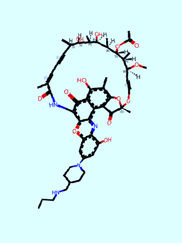 CCCNCC1CCN(c2cc(O)c3nc4c5c6c7c(C)c(O)c5c(=O)c(c-4oc3c2)NC(=O)/C(C)=C\C=C\[C@H](C)[C@H](O)[C@@H](C)[C@@H](O)[C@@H](C)[C@H](OC(C)=O)[C@H](C)[C@@H](OC)/C=C/O[C@@](C)(O7)C6=O)CC1